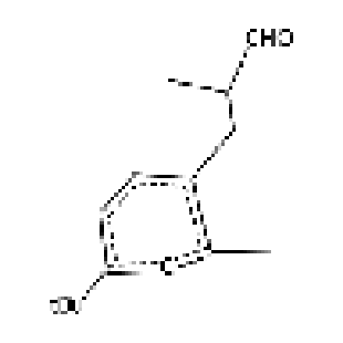 Cc1cc(C(C)(C)C)ccc1CC(C)C=O